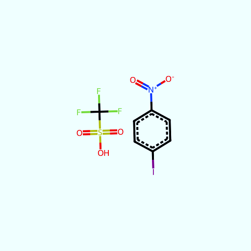 O=S(=O)(O)C(F)(F)F.O=[N+]([O-])c1ccc(I)cc1